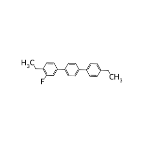 CCc1ccc(-c2ccc(-c3ccc(CC)c(F)c3)cc2)cc1